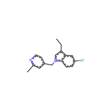 CCc1cn(Cc2ccnc(C)c2)c2ccc(Cl)cc12